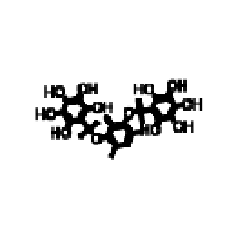 Cc1cc(C)c(OC(C)(C)c2c(O)c(O)c(O)c(O)c2O)c(C)c1OC(C)(C)c1c(O)c(O)c(O)c(O)c1O